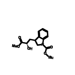 COC(=O)[C@@H](O)CC1CN(C(=O)OC(C)(C)C)c2ccccc21